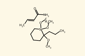 CC=CC(N)=O.CCCC1(OC)CCCC[Si]1(OC)OC